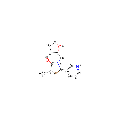 CC1SC(c2cccnc2)N(CC2CCCO2)C1=O